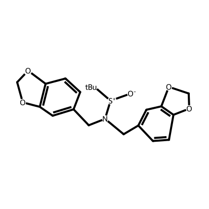 CC(C)(C)[S+]([O-])N(Cc1ccc2c(c1)OCO2)Cc1ccc2c(c1)OCO2